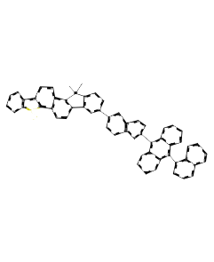 CC1(C)c2ccc(-c3ccc4cc(-c5c6ccccc6c(-c6cccc7ccccc67)c6ccccc56)ccc4c3)cc2-c2ccc3c(ccc4c5ccccc5sc34)c21